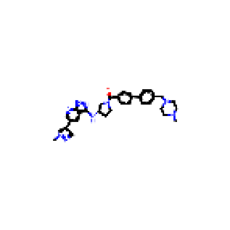 CN1CCN(Cc2ccc(-c3ccc(C(=O)N4CC[C@@H](Nc5n[nH]c6ncc(-c7cnn(C)c7)cc56)C4)cc3)cc2)CC1